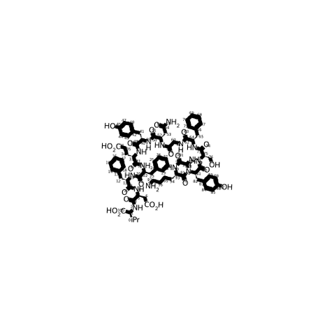 CC(C)[C@H](NC(=O)[C@H](CC(=O)O)NC(=O)[C@H](Cc1ccccc1)NC(=O)[C@H](Cc1ccccc1)NC(=O)[C@H](CCC(=O)O)NC(=O)[C@H](Cc1ccc(O)cc1)NC(=O)[C@H](CC(N)=O)NC(=O)CNC(=O)[C@H](Cc1ccccc1)NC(=O)[C@H](CO)NC(=O)[C@H](Cc1ccc(O)cc1)NC(=O)[C@H](CCCCN)NC(=O)[C@H](C)N)C(=O)O